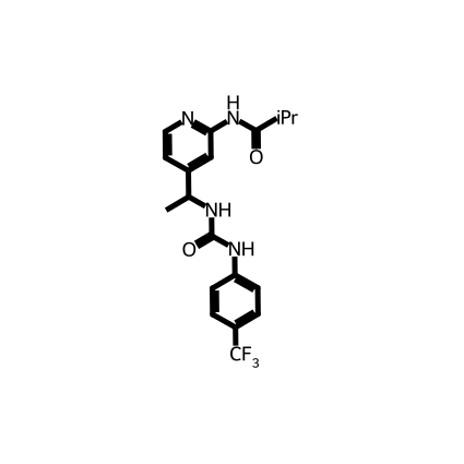 CC(C)C(=O)Nc1cc(C(C)NC(=O)Nc2ccc(C(F)(F)F)cc2)ccn1